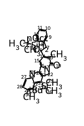 CCCCCCCCC(C)(C)[SiH2]OC(Cc1ccccc1)c1cc2n(c(=O)c1C)Cc1c-2nc2ccc(C)cc2c1[Si](C)(C)C(C)(C)C